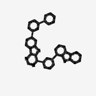 c1ccc(-c2cccc(-c3ccc4c(c3)sc3c(-c5cccc(-c6cccc7c6sc6ccccc67)c5)ncnc34)c2)cc1